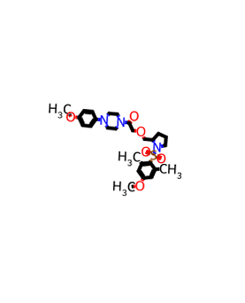 COc1ccc(N2CCN(C(=O)COCC3CCCN3S(=O)(=O)c3c(C)cc(OC)cc3C)CC2)cc1